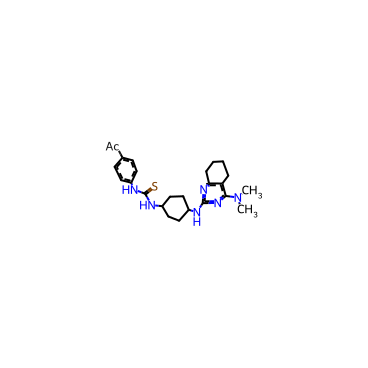 CC(=O)c1ccc(NC(=S)NC2CCC(Nc3nc4c(c(N(C)C)n3)CCCC4)CC2)cc1